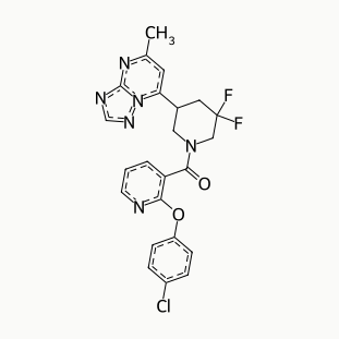 Cc1cc(C2CN(C(=O)c3cccnc3Oc3ccc(Cl)cc3)CC(F)(F)C2)n2ncnc2n1